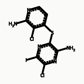 Nc1nc(Cl)c(I)nc1Sc1ccnc(N)c1Cl